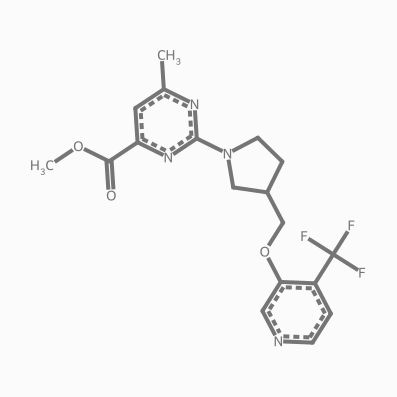 COC(=O)c1cc(C)nc(N2CCC(COc3cnccc3C(F)(F)F)C2)n1